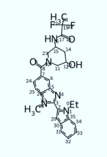 CCn1c(-c2nc3cc(C(=O)N4CC(O)CC(NC(=O)C(C)(F)F)C4)ccc3n2C)cc2ccccc21